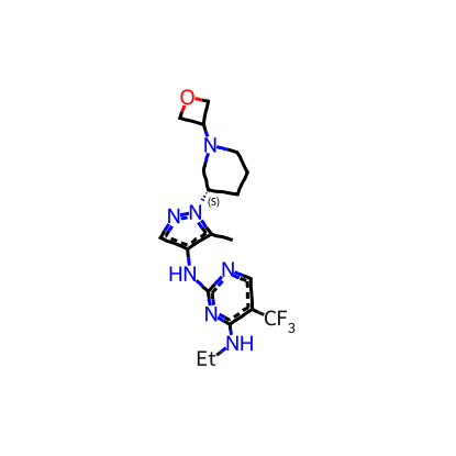 CCNc1nc(Nc2cnn([C@H]3CCCN(C4COC4)C3)c2C)ncc1C(F)(F)F